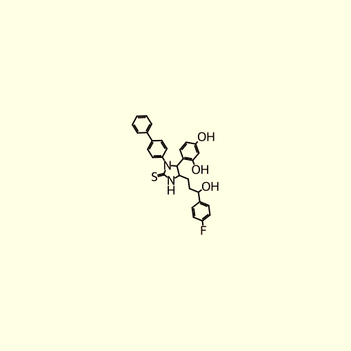 Oc1ccc(C2C(CCC(O)c3ccc(F)cc3)NC(=S)N2c2ccc(-c3ccccc3)cc2)c(O)c1